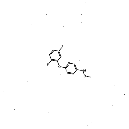 CONc1ccc(Oc2cc(F)ccc2F)nc1